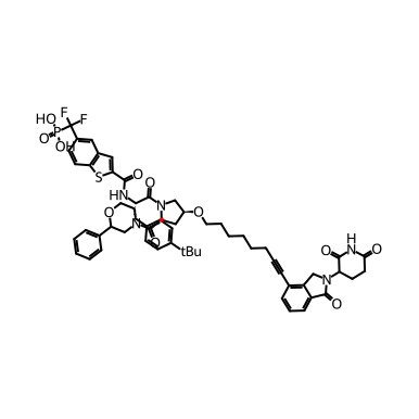 CC(C)(C)c1ccc(C[C@H](NC(=O)c2cc3cc(C(F)(F)P(=O)(O)O)ccc3s2)C(=O)N2C[C@@H](OCCCCCCC#Cc3cccc4c3CN(C3CCC(=O)NC3=O)C4=O)C[C@H]2C(=O)N2CCOC(c3ccccc3)C2)cc1